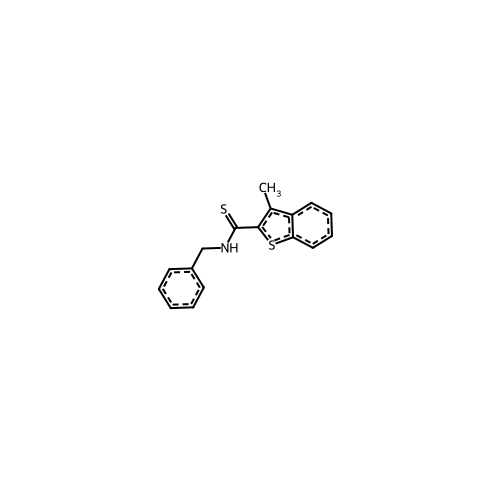 Cc1c(C(=S)NCc2ccccc2)sc2ccccc12